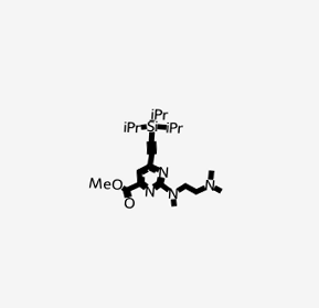 COC(=O)c1cc(C#C[Si](C(C)C)(C(C)C)C(C)C)nc(N(C)CCN(C)C)n1